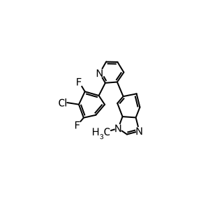 CN1C=NC2C=CC(c3cccnc3-c3ccc(F)c(Cl)c3F)=CC21